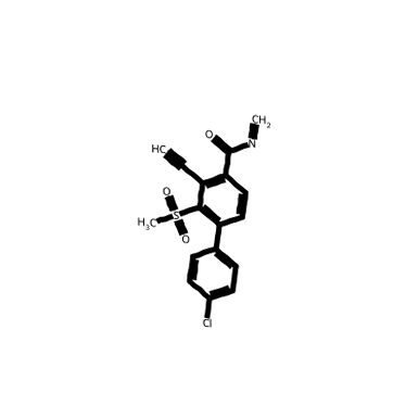 C#Cc1c(C(=O)N=C)ccc(-c2ccc(Cl)cc2)c1S(C)(=O)=O